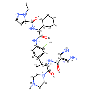 CCn1nccc1C(=O)N[C@H](C(=O)Nc1ccc([C@H](C)[C@@H](NC(=O)/C(C=N)=C/N)C(=O)N2CCN(C)CC2)cc1F)C1CCCCC1